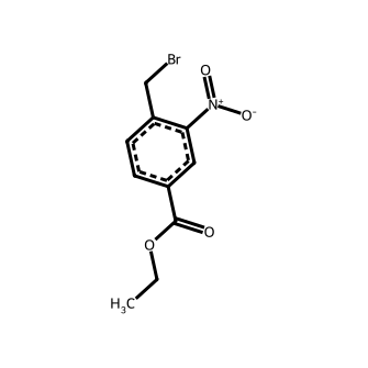 CCOC(=O)c1ccc(CBr)c([N+](=O)[O-])c1